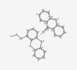 CCOc1cccc2c1Cc1ccccc1S2.O=c1c2ccccc2sc2ccccc12